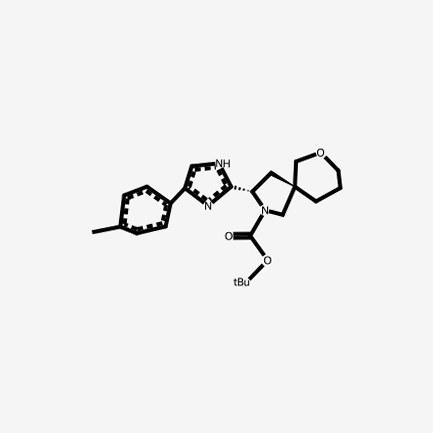 Cc1ccc(-c2c[nH]c([C@@H]3C[C@@]4(CCCOC4)CN3C(=O)OC(C)(C)C)n2)cc1